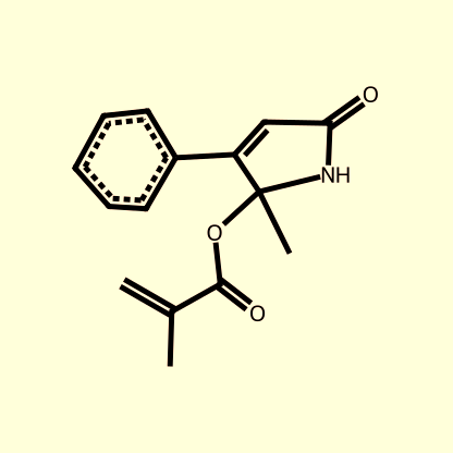 C=C(C)C(=O)OC1(C)NC(=O)C=C1c1ccccc1